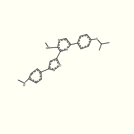 CNc1ccc(-c2cc(-c3nc(-c4ccc(SC(C)C)cc4)cnc3NC)on2)cc1